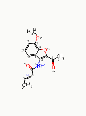 C/C=C/C(=O)Nc1c(C(C)=O)oc2c(OC)cccc12